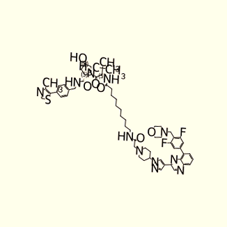 Cc1ncsc1-c1ccc(CNC(=O)[C@@H]2C[C@@H](O)CN2C(=O)[C@@H](NC(=O)CCCCCCCCCNC(=O)CN2CCC(n3cc(-c4cnc5cccc(-c6cc(F)c(CN7CCOCC7)c(F)c6)c5n4)cn3)CC2)C(C)(C)C)cc1